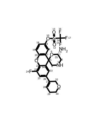 N[C@@H]1CNCC2(O1)c1cc(OS(=O)(=O)C(F)(F)F)ccc1Oc1c(F)cc(C3=CCCOC3)cc12